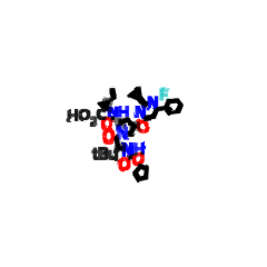 C=C[C@@H]1C[C@]1(NC(=O)[C@@H]1C[C@@H](Oc2cc(-c3ccccc3F)nc(C3CC3)n2)CN1C(=O)[C@@H](NC(=O)OC1CCCC1)C(C)(C)C)C(=O)O